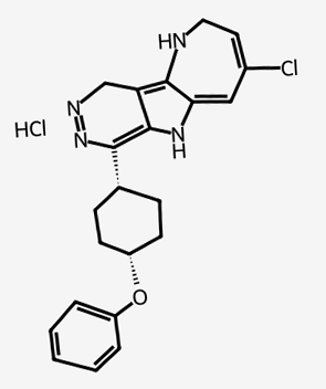 Cl.ClC1=CCNc2c3c([nH]c2=C1)=C([C@H]1CC[C@@H](Oc2ccccc2)CC1)N=NC3